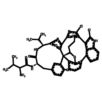 CC(C)C(N)C(=O)N[C@H]1Cc2ccc(O)c(c2)[C@]23c4cccc(c4OC2CCO)-c2cccc4[nH]c(Cl)c(c24)-c2oc(nc2Cl)-c2nc(oc23)[C@H](C(C)C)NC1=O